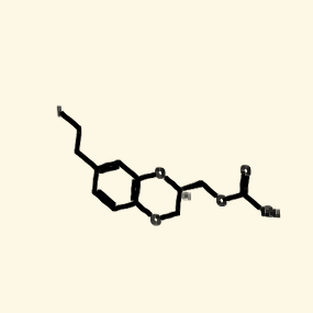 CC(C)(C)C(=O)OC[C@H]1COc2ccc(CCI)cc2O1